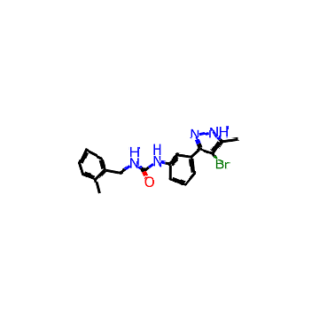 Cc1ccccc1CNC(=O)Nc1cccc(-c2n[nH]c(C)c2Br)c1